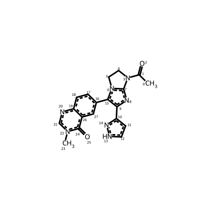 CC(=O)N1CCn2c1nc(-c1cc[nH]n1)c2-c1ccc2ncn(C)c(=O)c2c1